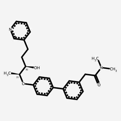 C[C@H](Oc1ccc(-c2cccc(CC(=O)N(C)C)c2)cc1)[C@H](O)CCc1cccnc1